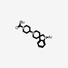 CCC(C)C(=O)N1CCC(N2CCC3(CC2)CN(C(C)=O)c2ccccc23)CC1